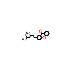 CC(=O)C(C)CC(CCc1ccc2oc3ccccc3c(=O)c2c1)C(C)=O